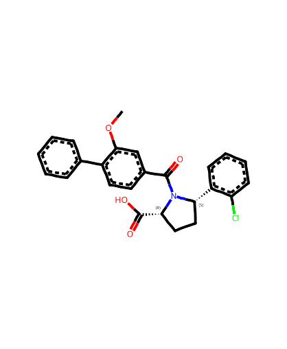 COc1cc(C(=O)N2[C@@H](C(=O)O)CC[C@H]2c2ccccc2Cl)ccc1-c1ccccc1